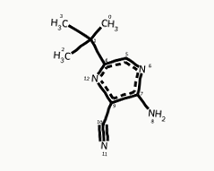 CC(C)(C)c1cnc(N)c(C#N)n1